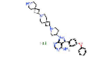 Cl.Nc1ncnc2c1c(-c1ccc(Oc3ccccc3)cc1)nn2C1CCN(C2CC3(CCN(C4CC5(CCNCC5)C4)CC3)C2)CC1